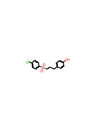 O=S(=O)(CCCc1ccc(O)cc1)c1ccc(Cl)cc1